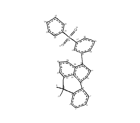 CC1(C)c2ccccc2-c2ccc(-c3cccc(S(=O)(=O)c4ccccc4)c3)c3cccc1c23